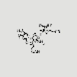 COCCO[C@@H]1[C@H](N)[C@@H](COP(OCCC#N)N(C(C)C)C(C)C)O[C@H]1n1cc(C)c(=O)[nH]c1=O